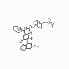 CN(C)C(=O)OCC1CCC2(COc3nc(N4CC5CCC(C4)N5)c4cc(Cl)c(-c5cc(O)cc6ccccc56)c(F)c4n3)CCCN12